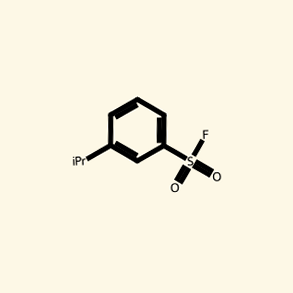 CC(C)c1cccc(S(=O)(=O)F)c1